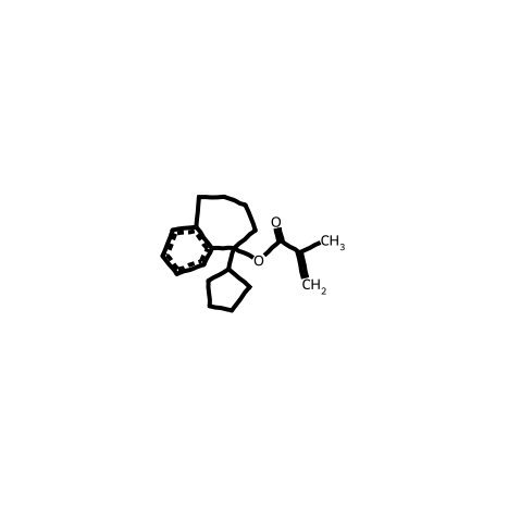 C=C(C)C(=O)OC1(C2CCCC2)CCCCc2ccccc21